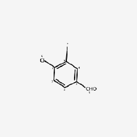 O=Cc1ccc(Cl)c(I)c1